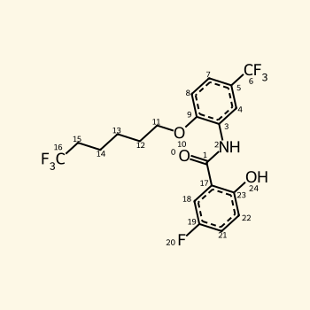 O=C(Nc1cc(C(F)(F)F)ccc1OCCCCCC(F)(F)F)c1cc(F)ccc1O